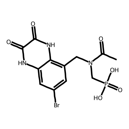 CC(=O)N(Cc1cc(Br)cc2[nH]c(=O)c(=O)[nH]c12)CP(=O)(O)O